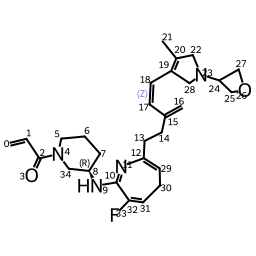 C=CC(=O)N1CCC[C@@H](NC2=NC(CCC(=C)/C=C\C3=C(C)CN(C4COC4)C3)=CCC=C2F)C1